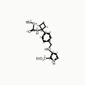 CCOC(=O)c1[nH]ccc1NCc1ccc(C2(NC(=O)OC(C)(C)C)CCC2)cc1